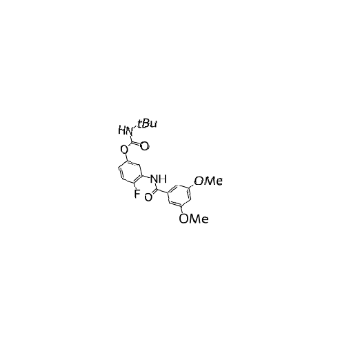 COc1cc(OC)cc(C(=O)Nc2cc(OC(=O)NC(C)(C)C)ccc2F)c1